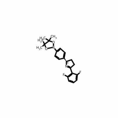 CC1(C)OB(c2ccc([C@H]3CCC(c4c(F)cccc4F)=N3)cc2)OC1(C)C